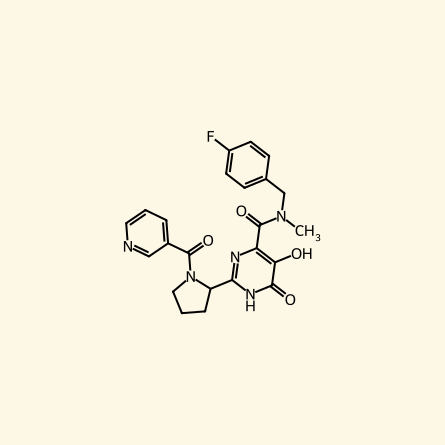 CN(Cc1ccc(F)cc1)C(=O)c1nc(C2CCCN2C(=O)c2cccnc2)[nH]c(=O)c1O